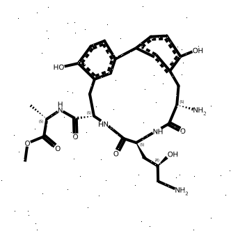 COC(=O)[C@H](C)NC(=O)[C@@H]1Cc2cc(ccc2O)-c2ccc(O)c(c2)C[C@H](N)C(=O)N[C@@H](C[C@@H](O)CN)C(=O)N1